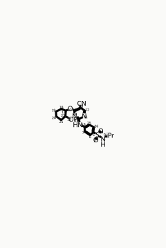 CC(C)NS(=O)(=O)c1ccc(Nc2ncc(C#N)c(OC3CCCCC3O)n2)cc1